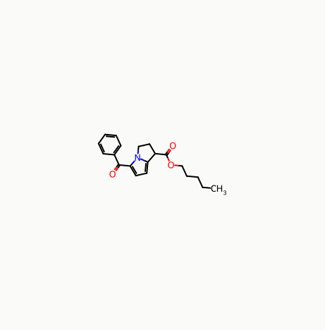 CCCCCOC(=O)C1CCn2c(C(=O)c3ccccc3)ccc21